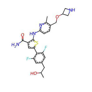 Cc1nc(Nc2sc(-c3c(F)cc(CC(C)O)cc3F)cc2C(N)=O)ccc1COC1CNC1